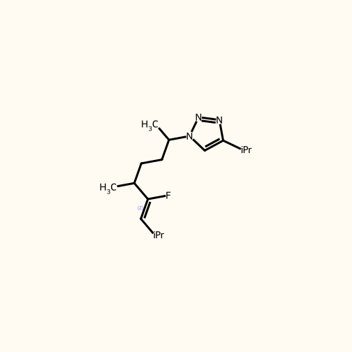 CC(C)/C=C(\F)C(C)CCC(C)n1cc(C(C)C)nn1